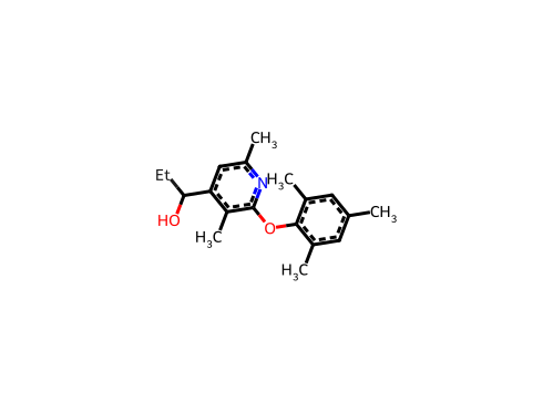 CCC(O)c1cc(C)nc(Oc2c(C)cc(C)cc2C)c1C